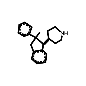 CC1(c2ccccc2)Cc2ccccc2C1=C1CCNCC1